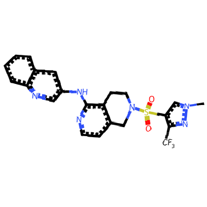 Cn1cc(S(=O)(=O)N2CCc3c(ccnc3Nc3cnc4ccccc4c3)C2)c(C(F)(F)F)n1